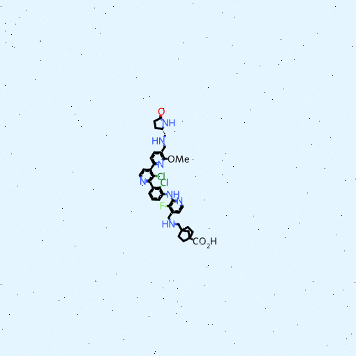 COc1nc(-c2ccnc(-c3cccc(Nc4nccc(CNCC56CCC(C(=O)O)(CC5)C6)c4F)c3Cl)c2Cl)ccc1CNC[C@@H]1CCC(=O)N1